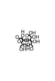 O=C(O)[C@H](O)[C@@H](O)[C@H](O)[C@H](O)CO.O=C1O[C@H]([C@@H](O)CO)C(O)=C1O